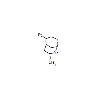 CCC1CCC2CC1CC(C)N2